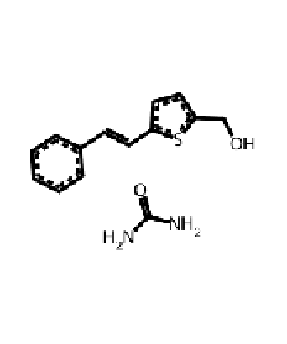 NC(N)=O.OCc1ccc(C=Cc2ccccc2)s1